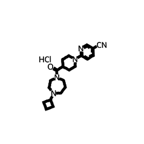 Cl.N#Cc1ccc(N2CCC(C(=O)N3CCCN(C4CCC4)CC3)CC2)nc1